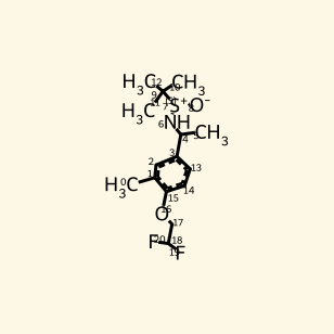 Cc1cc(C(C)N[S@+]([O-])C(C)(C)C)ccc1OCC(F)F